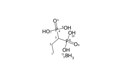 B.CCC(P(=O)(O)O)P(=O)(O)O